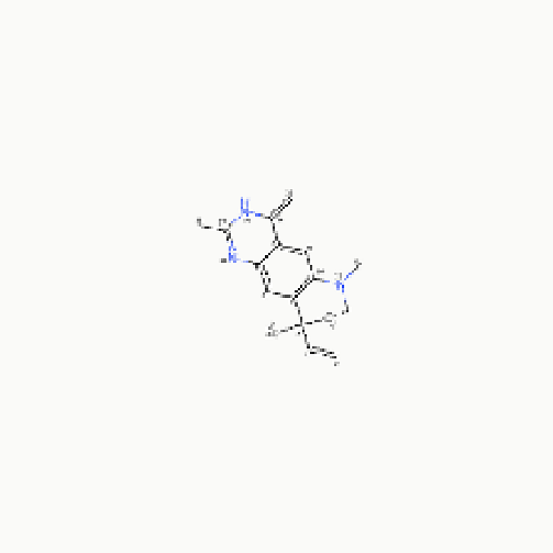 C=CC(CC)(CC)c1cc2c(cc1N(C)C)C(=C)NC(C)=N2